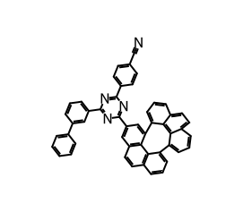 N#Cc1ccc(-c2nc(-c3cccc(-c4ccccc4)c3)nc(-c3cc4ccc5cccc6c7cccc8ccc9cccc(c(c3)c4c56)c9c87)n2)cc1